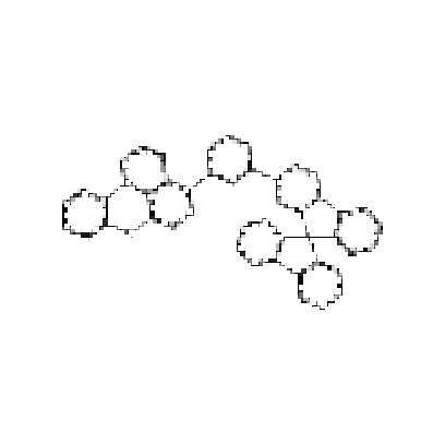 c1cc(-c2ccc3c(c2)C2(c4ccccc4-c4ccccc42)c2ccccc2-3)cc(-c2ccc3c4c(cccc24)-c2ccccc2S3)c1